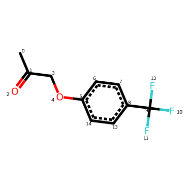 CC(=O)COc1ccc(C(F)(F)F)cc1